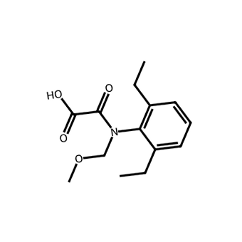 CCc1cccc(CC)c1N(COC)C(=O)C(=O)O